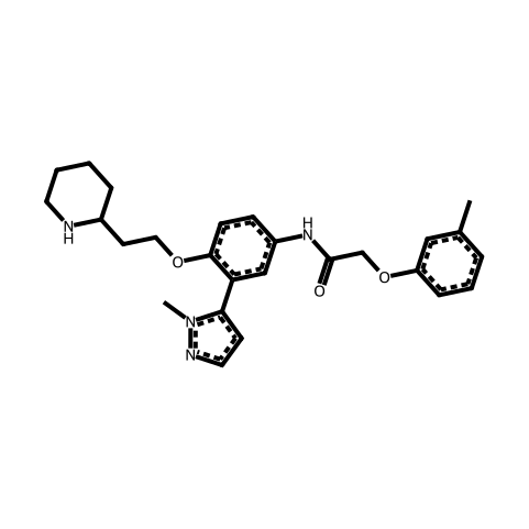 Cc1cccc(OCC(=O)Nc2ccc(OCCC3CCCCN3)c(-c3ccnn3C)c2)c1